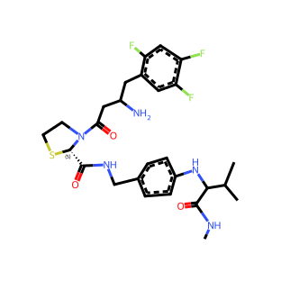 CNC(=O)C(Nc1ccc(CNC(=O)[C@@H]2SCCN2C(=O)CC(N)Cc2cc(F)c(F)cc2F)cc1)C(C)C